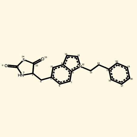 O=C1NC(Cc2ccc3c(ccn3CCc3ccccc3)c2)C(=O)S1